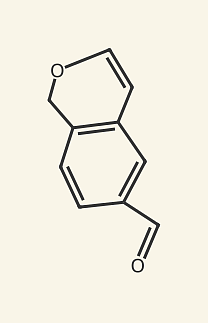 O=Cc1ccc2c(c1)C=COC2